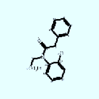 CCOC(=O)CN(C(=O)Cc1ccccc1)c1ccccc1Cl